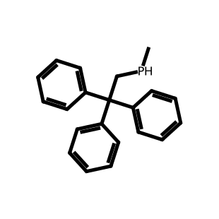 CPCC(c1ccccc1)(c1ccccc1)c1ccccc1